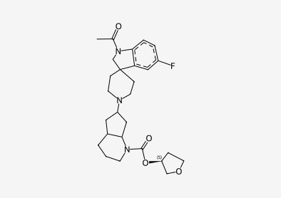 CC(=O)N1CC2(CCN(C3CC4CCCN(C(=O)O[C@H]5CCOC5)C4C3)CC2)c2cc(F)ccc21